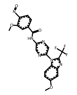 COc1ccc2c(c1)nc(C(F)(F)F)n2-c1cnc(NC(=O)c2ccc(N=O)c(OC)c2)cn1